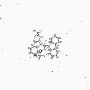 CCC(C)(C)OCS(C)(C1C(CS(C)(C)C)=Cc2ccccc21)C1c2ccccc2-c2ccccc21